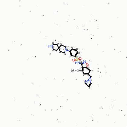 COc1cc(Cn2cccn2)cc2onc(NS(=O)(=O)c3cccc(N4CCC5(CCNCC5)CC4)c3)c12